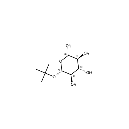 CC(C)(C)O[C@@H]1O[C@H](O)[C@@H](O)[C@H](O)[C@H]1O